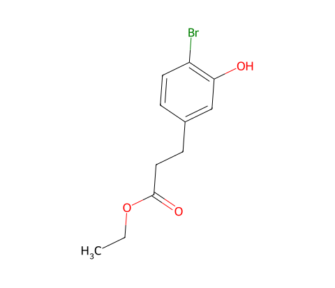 CCOC(=O)CCc1ccc(Br)c(O)c1